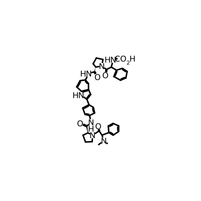 CN(C)C(C(=O)N1CCC[C@H]1C(=O)Nc1ccc(-c2cc3cc(NC(=O)[C@@H]4CCCN4C(=O)C(NC(=O)O)c4ccccc4)ccc3[nH]2)cc1)c1ccccc1